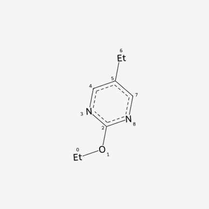 CCOc1ncc(CC)cn1